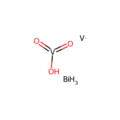 [BiH3].[O]=[V](=[O])[OH].[V]